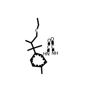 CCCCC(C)C(C)(C)c1ccc(C)cc1.N=C=O.N=C=O